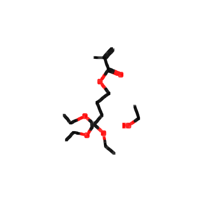 C=C(C)C(=O)OCCC[Si](OCC)(OCC)OCC.CCO